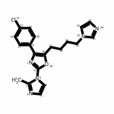 Cc1nccn1-c1nc(-c2ccc(Cl)cc2)c(CCCCn2ccnc2)o1